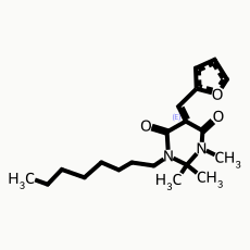 CCCCCCCCN1C(=O)/C(=C/c2ccco2)C(=O)N(C)C1(C)C